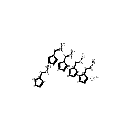 CC[N-]CC1C=CC=C1.CC[N-]CC1C=CC=C1.CC[N-]CC1C=CC=C1.CC[N-]CC1C=CC=C1.CC[N-]CC1C=CC=C1.[Ta+5]